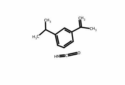 C=C(C)c1cccc(C(C)C)c1.N=C=O